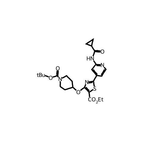 CCOC(=O)c1sc(-c2ccnc(NC(=O)C3CC3)c2)nc1OC1CCN(C(=O)OC(C)(C)C)CC1